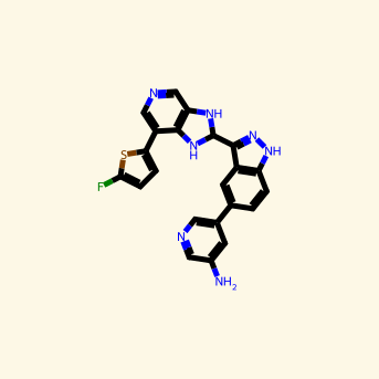 Nc1cncc(-c2ccc3[nH]nc(C4Nc5cncc(-c6ccc(F)s6)c5N4)c3c2)c1